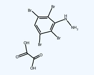 NNc1c(Br)c(Br)cc(Br)c1Br.O=C(O)C(=O)O